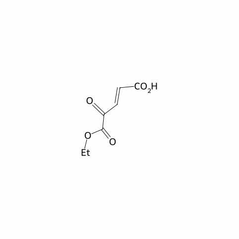 CCOC(=O)C(=O)C=CC(=O)O